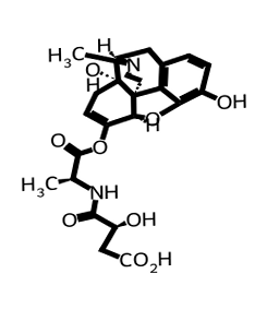 C[C@H](NC(=O)[C@@H](O)CC(=O)O)C(=O)OC1=CC[C@@]2(O)[C@H]3Cc4ccc(O)c5c4[C@@]2(CCN3C)[C@H]1O5